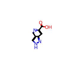 O=C(O)c1cc2n[nH]cc2cn1